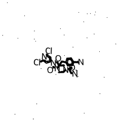 CN(C)CC(=O)N1CCN2C(=O)N(c3cc(Cl)nc(Cl)c3)C(=O)C2(Cc2ccc(C#N)cc2)C1